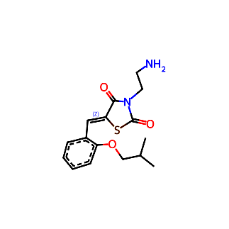 CC(C)COc1ccccc1/C=C1\SC(=O)N(CCN)C1=O